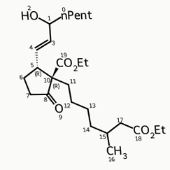 CCCCCC(O)C=C[C@H]1CCC(=O)[C@]1(CCCCC(C)CC(=O)OCC)C(=O)OCC